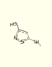 Nc1cc(S)ns1